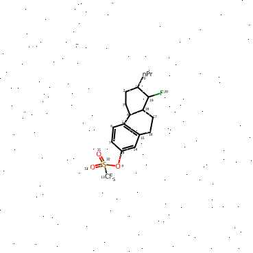 CCCC1CCC2c3ccc(OS(=O)(=O)C(F)(F)F)cc3CCC2C1F